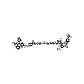 Cc1ncsc1-c1ccc(CNC(=O)[C@@H]2C[C@@H](O)CN2C(=O)[C@@H](NC(=O)CCOCCOCCOCCOCCOCCC(=O)N2CCN(CCOc3ccc(/C(=C(/CCCl)c4ccccc4)c4ccccc4)cc3)CC2)C(C)(C)C)cc1